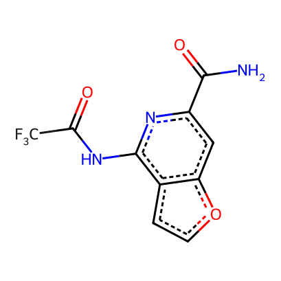 NC(=O)c1cc2occc2c(NC(=O)C(F)(F)F)n1